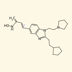 C=C(/C=C/c1ccc2c(c1)nc(CCC1CCCC1)n2CCN1CCCC1)NO